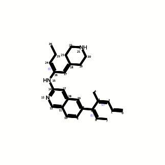 C=C/C=C(C)\C(=C/C)c1ccc2cnc(N/C(C=C3CCNCC3)=C/CC)cc2c1